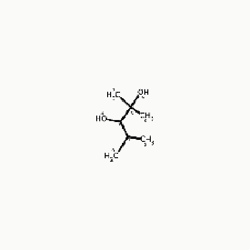 [CH2]C(C)C(O)C(C)(C)O